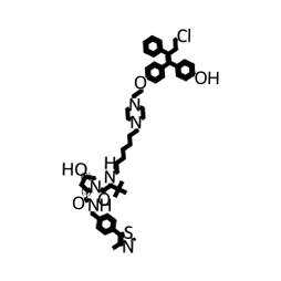 Cc1ncsc1-c1ccc(CNC(=O)[C@@H]2C[C@@H](O)CN2C(=O)C(NCCCCCCCN2CCN(CCOc3ccc(C(=C(CCCl)c4ccccc4)c4ccc(O)cc4)cc3)CC2)C(C)(C)C)cc1